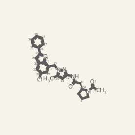 CC(=O)N1CCC[C@H]1CC(=O)Nc1cc(C)n(Cc2cc(Cl)cc3cc(-c4ccccc4)oc23)n1